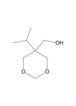 CC(C)C1(CO)COCOC1